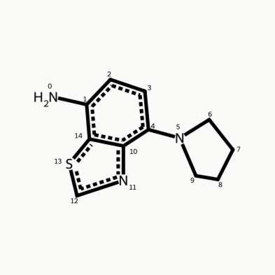 Nc1ccc(N2CCCC2)c2ncsc12